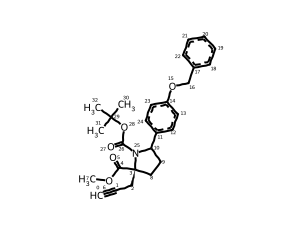 C#CC[C@]1(C(=O)OC)CCC(c2ccc(OCc3ccccc3)cc2)N1C(=O)OC(C)(C)C